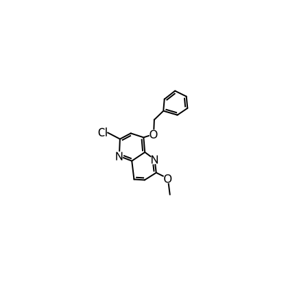 COc1ccc2nc(Cl)cc(OCc3ccccc3)c2n1